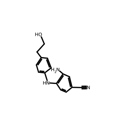 N#Cc1ccc(Nc2ccc(CCO)cc2)c(N)c1